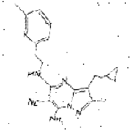 Cc1cccc(CCNc2nc3c(CC4CC4)c(C)nn3c(N)c2C#N)n1